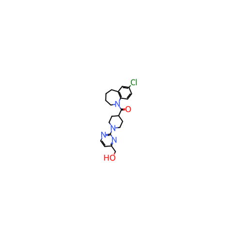 O=C(C1CCN(c2nccc(CO)n2)CC1)N1CCCCc2cc(Cl)ccc21